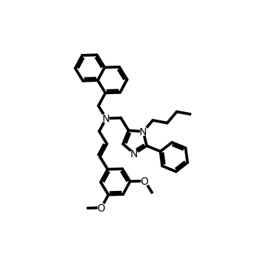 CCCCn1c(CN(CC=Cc2cc(OC)cc(OC)c2)Cc2cccc3ccccc23)cnc1-c1ccccc1